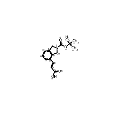 CC(C)(C)OC(=O)N1Cc2cccc(/C=C/C(=O)O)c2C1